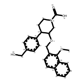 COc1c(COC2CN(C(=O)O)CCC2c2ccc(CO)cc2)ccc2ccccc12